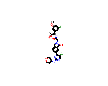 CCOc1cc(F)cc([C@H](NC(=O)CN2Cc3ccc(-c4nc(NC5CCOCC5)ncc4Cl)cc3C2=O)[C@H](C)O)c1